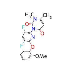 COc1ccccc1Oc1nc(-n2c(=O)cc(C)n(C)c2=O)c(F)cc1F